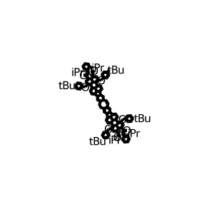 CC(C)c1cccc(C(C)C)c1N1C(=O)C2=CC(Oc3ccc(C(C)(C)C)cc3)=C3C4=CC=C5C6C=C7/C=C\C8CC9C%10=CC=C%11C%12=C(Oc%13ccc(C(C)(C)C)cc%13)C=C%13C(=O)N(c%14c(C(C)C)cccc%14C(C)C)C(=O)C%14=CC(Oc%15ccc(C(C)(C)C)cc%15)=C(C%15=CC=C(C9C=C8CCC7=CC6C6=CC=C(C7=C(Oc8ccc(C(C)(C)C)cc8)C=C(C1=O)C2C37)C4C56)C%10C%15%11)C%12C%14%13